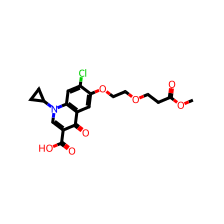 COC(=O)CCOCCOc1cc2c(=O)c(C(=O)O)cn(C3CC3)c2cc1Cl